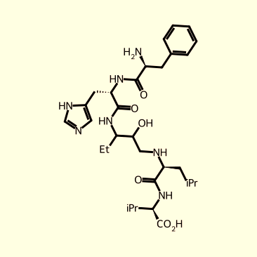 CCC(NC(=O)[C@H](Cc1cnc[nH]1)NC(=O)[C@@H](N)Cc1ccccc1)C(O)CN[C@@H](CC(C)C)C(=O)N[C@@H](C(=O)O)C(C)C